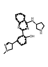 CN1CC(c2ccc(O)c(-c3nc(N[C@H]4CCNC4)c4ccccc4n3)c2)C=N1